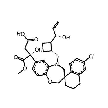 C=C[C@H](O)[C@@H]1CC[C@H]1CN1C[C@@]2(CCCc3cc(Cl)ccc32)COc2ccc([C@](O)(CC(=O)O)C(=O)OC)cc21